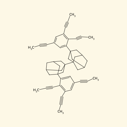 CC#Cc1cc(C#CC)c(C#CC)c(C23CC4CC(C2)CC(C25CC6CC(CC(c7cc(C#CC)cc(C#CC)c7C#CC)(C6)C2)C5)(C4)C3)c1